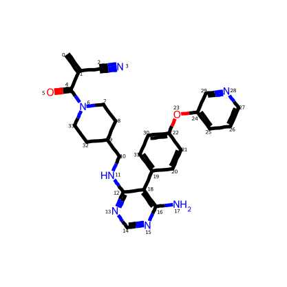 C=C(C#N)C(=O)N1CCC(CNc2ncnc(N)c2-c2ccc(Oc3cccnc3)cc2)CC1